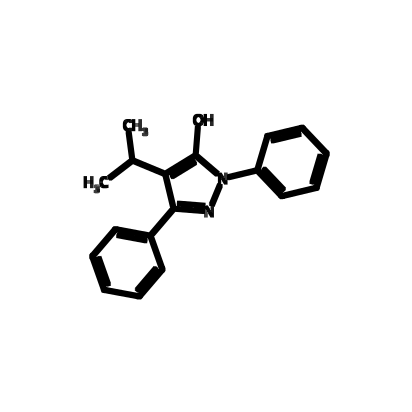 CC(C)c1c(-c2ccccc2)nn(-c2ccccc2)c1O